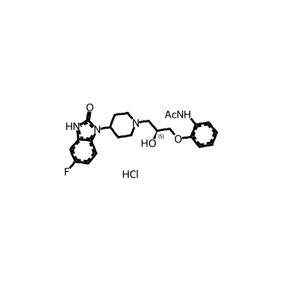 CC(=O)Nc1ccccc1OC[C@@H](O)CN1CCC(n2c(=O)[nH]c3cc(F)ccc32)CC1.Cl